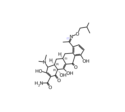 C/C(=N/OCC(C)C)c1ccc(O)c2c1C[C@@H]1C[C@@H]3C(N(C)C)C(O)=C(C(N)=O)C(=O)[C@]3(O)C(O)=C1C2=O